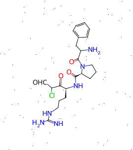 N=C(N)NCCC[C@H](NC(=O)[C@@H]1CCCN1C(=O)C(N)Cc1ccccc1)C(=O)C(Cl)C=O